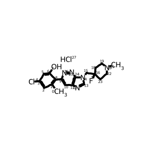 Cc1cc(Cl)cc(O)c1-c1cc2ncn(CC3(F)CCN(C)CC3)c2nn1.Cl